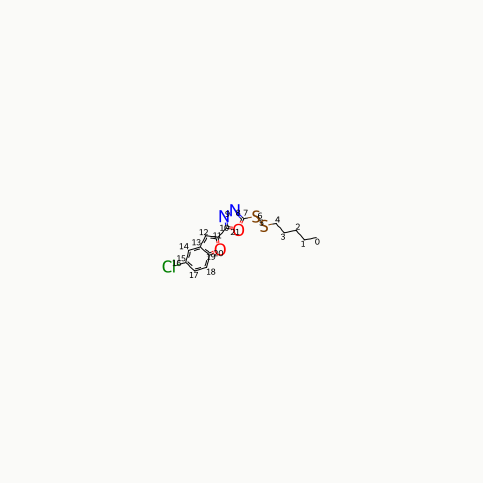 CCCCCSSc1nnc(-c2cc3cc(Cl)ccc3o2)o1